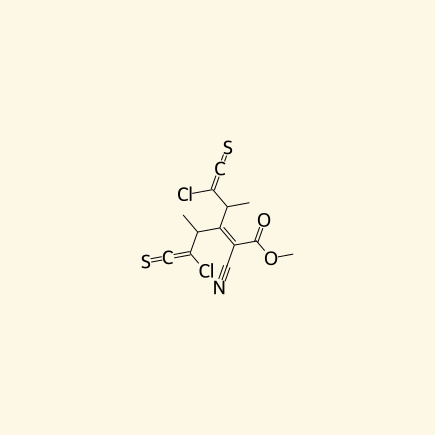 COC(=O)C(C#N)=C(C(C)C(Cl)=C=S)C(C)C(Cl)=C=S